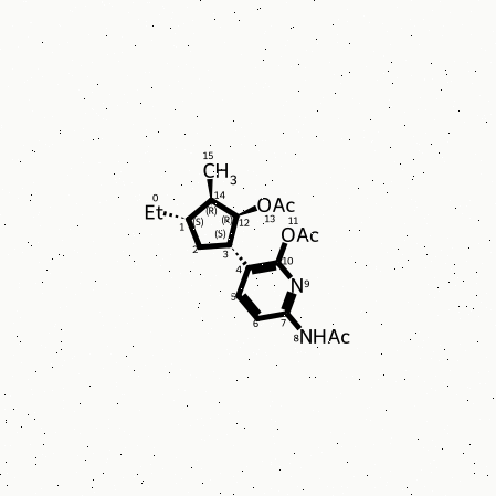 CC[C@H]1C[C@@H](c2ccc(NC(C)=O)nc2OC(C)=O)[C@H](OC(C)=O)[C@@H]1C